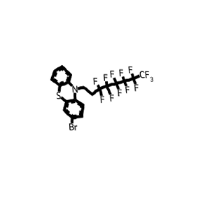 FC(F)(F)C(F)(F)C(F)(F)C(F)(F)C(F)(F)C(F)(F)CCN1c2ccccc2Sc2cc(Br)ccc21